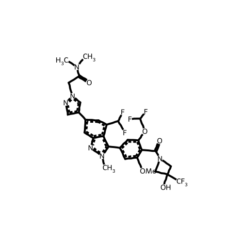 COc1cc(-c2c3c(C(F)F)cc(-c4cnn(CC(=O)N(C)C)c4)cc3nn2C)cc(OC(F)F)c1C(=O)N1CC(O)(C(F)(F)F)C1